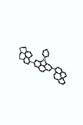 C1=Cc2ccc3c(-c4cc5ccc6cc(-c7ccc8ccc9cccc%10ccc7c8c9%10)cc7c6c5c(c4)n7-c4ccccc4)ccc4c3c2C(=CC4)C1